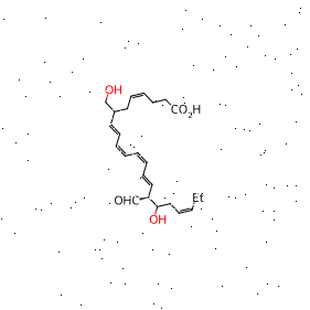 CC/C=C\CC(O)[C@@H](C=O)/C=C/C=C\C=C/C=C/C(CO)C/C=C\CCC(=O)O